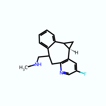 CNCC1Cc2ncc(F)cc2[C@@H]2CC2c2ccccc21